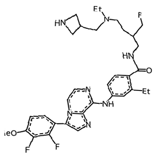 CCc1cc(Nc2nccn3c(-c4ccc(OC)c(F)c4F)cnc23)ccc1C(=O)NCC(CF)CCN(CC)CC1CNC1